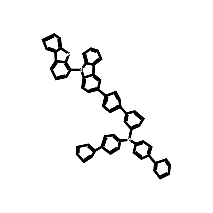 c1ccc(-c2ccc(N(c3ccc(-c4ccccc4)cc3)c3cccc(-c4ccc(-c5ccc6c(c5)c5ccccc5n6-c5cccc6c5sc5ccccc56)cc4)c3)cc2)cc1